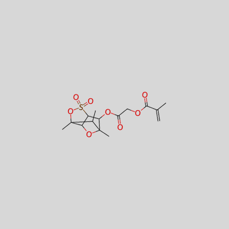 C=C(C)C(=O)OCC(=O)OC1C2C3OC1(C)C(C)C3(C)OS2(=O)=O